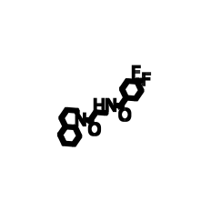 O=C(NCCC(=O)N1CCCC2CCCCC21)C1CCC(F)(F)CC1